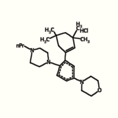 CCCN1CCN(c2ccc(N3CCOCC3)cc2C2=CC(C)(C)CC(C)(C)C2)CC1.Cl